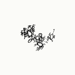 CC1N(CCN2CCCC2)C(=O)C2(CCN(C(=O)c3cc(C(F)(F)F)cc(C(F)(F)F)c3)CC2)N1c1ccccc1